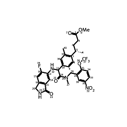 COC(=O)CC[C@H](C)c1ccc(C(Nc2cc3c(cc2F)CNC3=O)C(=O)N(C)Cc2cc([N+](=O)[O-])ccc2OC(F)(F)F)cc1C